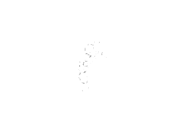 C=CC[C@@H](O)[C@H](C)S(=O)(=O)N(Cc1ccc(OC)cc1)Cc1ccc(OC)cc1